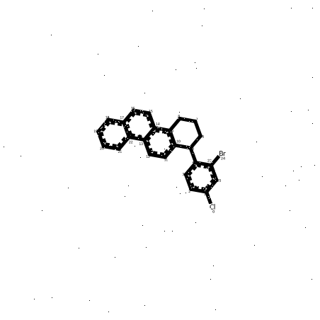 Clc1ccc(C2CCCc3c2ccc2c3ccc3ccccc32)c(Br)c1